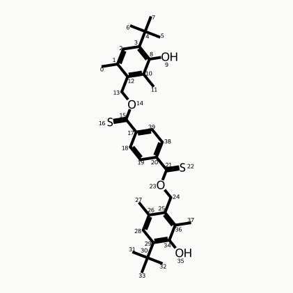 Cc1cc(C(C)(C)C)c(O)c(C)c1COC(=S)c1ccc(C(=S)OCc2c(C)cc(C(C)(C)C)c(O)c2C)cc1